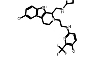 FC(F)(F)c1nc(NCCN2CCc3c([nH]c4ccc(Cl)cc34)C2CNC2COC2)ccc1Cl